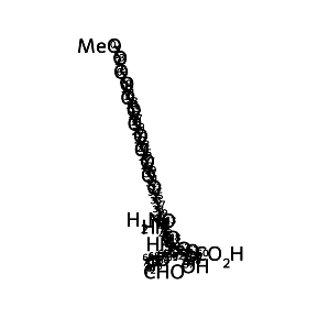 COCCOCCOCCOCCOCCOCCOCCOCCOCCOCCOCCOCCCCCCC(N)C(=O)NCCC(=O)Nc1cc(OC2CC(O)CC(C(=O)O)O2)ccc1COc1cccc(C=O)c1